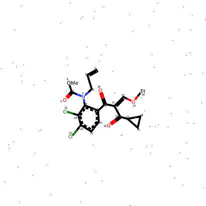 C=CCN(C(=O)OC)c1c(C(=O)C(=COCC)C(=O)C2CC2)ccc(Cl)c1Cl